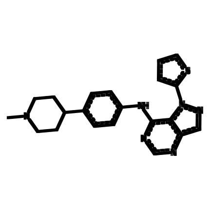 CN1CCC(c2ccc(Nc3ncnc4cnn(-c5cccs5)c34)cc2)CC1